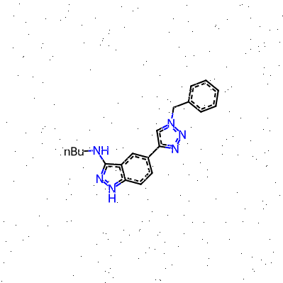 CCCCNc1n[nH]c2ccc(-c3cn(Cc4ccccc4)nn3)cc12